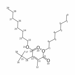 CCCCCCCCOC(=O)C(C)=C(CC(C)(C)C)C(=O)OCCCCCCCC